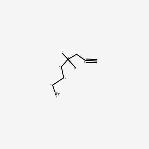 C#CCC(C)(C)CCCC([CH2])C